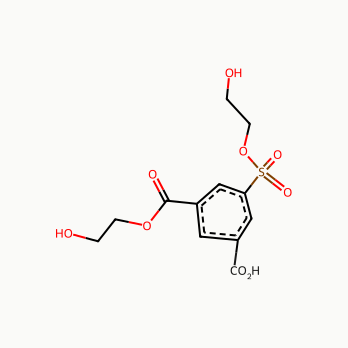 O=C(O)c1cc(C(=O)OCCO)cc(S(=O)(=O)OCCO)c1